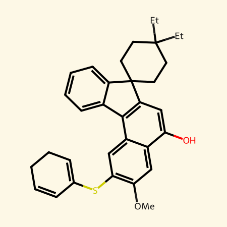 CCC1(CC)CCC2(CC1)c1ccccc1-c1c2cc(O)c2cc(OC)c(SC3=CCCC=C3)cc12